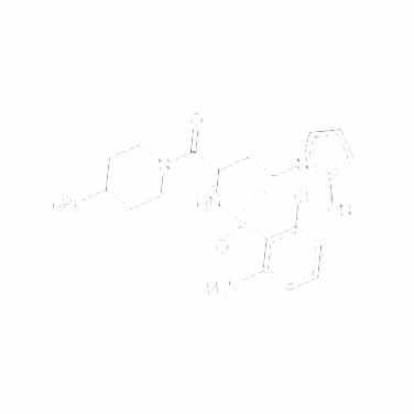 CCCC1CCN(C(=O)C(CCn2cccc2C#N)NS(=O)(=O)c2c(C)cccc2Cl)CC1